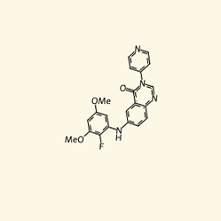 COc1cc(Nc2ccc3ncn(-c4ccncc4)c(=O)c3c2)c(F)c(OC)c1